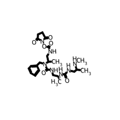 CNC(C)CNC(=O)N[C@@H](C)CNC(=O)N(Cc1ccccc1)C(C)CNC(=O)ON1C(=O)CCC1=O